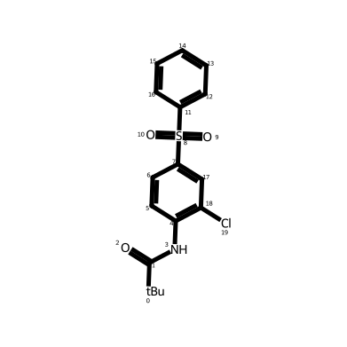 CC(C)(C)C(=O)Nc1ccc(S(=O)(=O)c2ccccc2)cc1Cl